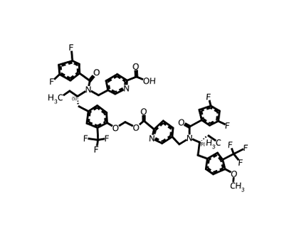 CC[C@H](Cc1ccc(OC)c(C(F)(F)F)c1)N(Cc1ccc(C(=O)OCOc2ccc(C[C@H](CC)N(Cc3ccc(C(=O)O)nc3)C(=O)c3cc(F)cc(F)c3)cc2C(F)(F)F)nc1)C(=O)c1cc(F)cc(F)c1